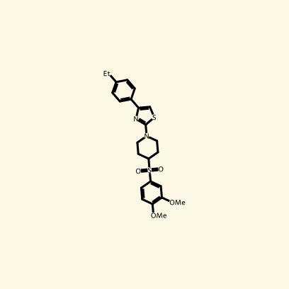 CCc1ccc(-c2csc(N3CCC(S(=O)(=O)c4ccc(OC)c(OC)c4)CC3)n2)cc1